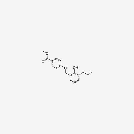 CCCc1cccc(COc2ccc(C(=O)OC)cc2)c1O